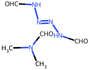 CN(C)C=O.O=CNN=NNC=O